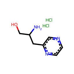 Cl.Cl.NC(CO)Cc1cnccn1